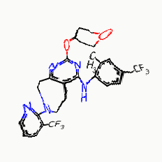 Cc1cc(C(F)(F)F)ccc1Nc1nc(OC2CCOC2)nc2c1CCN(c1ncccc1C(F)(F)F)CC2